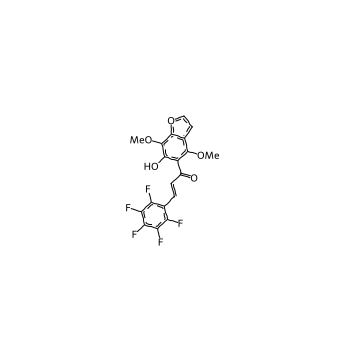 COc1c(C(=O)C=Cc2c(F)c(F)c(F)c(F)c2F)c(O)c(OC)c2occc12